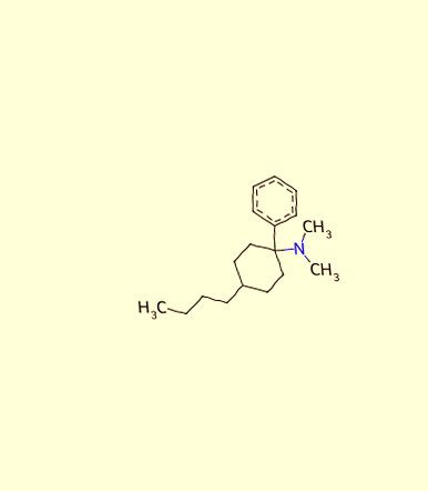 CCCCC1CCC(c2ccccc2)(N(C)C)CC1